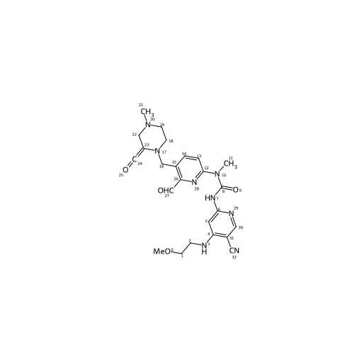 COCCNc1cc(NC(=O)N(C)c2ccc(CN3CCN(C)CC3=C=O)c(C=O)n2)ncc1C#N